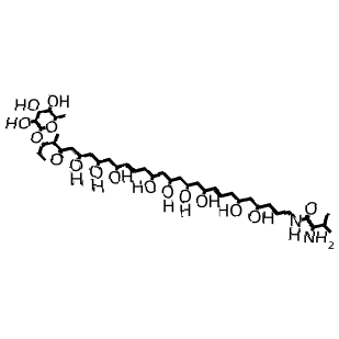 CCC(OC1OC(C)C(O)C(O)C1O)C(C)C(=O)CC(O)CC(O)CC(O)/C=C/CC(O)CC(O)CC(O)CC(O)/C=C/CC(O)CC(O)CCCNC(=O)C(N)C(C)C